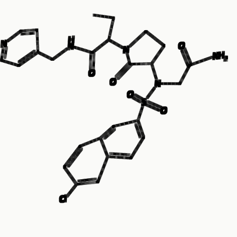 CCC(C(=O)NCc1ccncc1)N1CCC(N(CC(N)=O)S(=O)(=O)c2ccc3cc(Cl)ccc3c2)C1=O